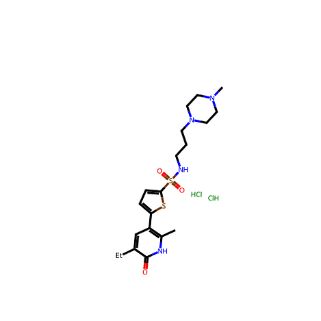 CCc1cc(-c2ccc(S(=O)(=O)NCCCN3CCN(C)CC3)s2)c(C)[nH]c1=O.Cl.Cl